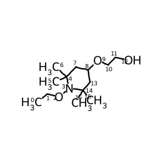 CCON1C(C)(C)CC(OCCO)CC1(C)C